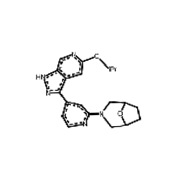 CC(C)Oc1cc2c(-c3ccnc(N4CC5CCC(C4)O5)c3)n[nH]c2cn1